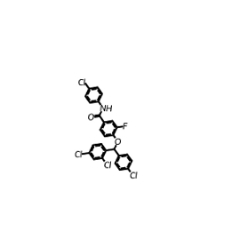 O=C(Nc1ccc(Cl)cc1)c1ccc(OC(c2ccc(Cl)cc2)c2ccc(Cl)cc2Cl)c(F)c1